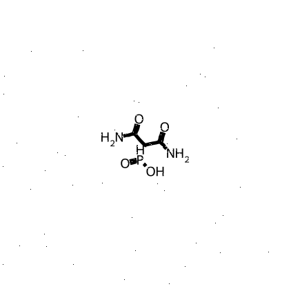 NC(=O)C(C(N)=O)[PH](=O)O